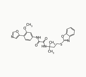 COc1cc(NC(=O)C(=O)NC(C)(C)CCSc2nc3ccccc3o2)ccc1-c1cnco1